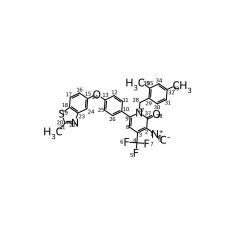 [C-]#[N+]c1c(C(F)(F)F)cc(-c2ccc(Oc3ccc4sc(C)nc4c3)cc2)n(Cc2ccc(C)cc2C)c1=O